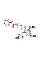 CC(C)(C)OC(=O)CN(CC(=O)OC(C)(C)C)C(CCCCNC(=O)Oc1ccccc1)C(=O)OC(C)(C)C